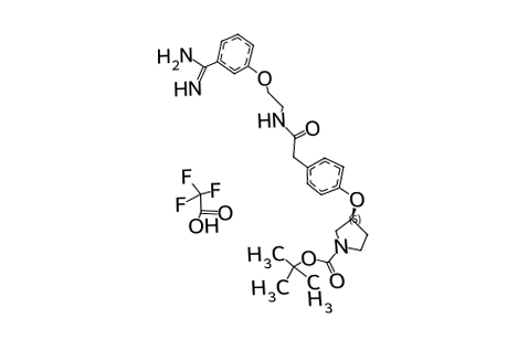 CC(C)(C)OC(=O)N1CC[C@H](Oc2ccc(CC(=O)NCCOc3cccc(C(=N)N)c3)cc2)C1.O=C(O)C(F)(F)F